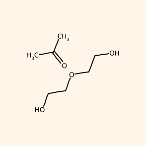 CC(C)=O.OCCOCCO